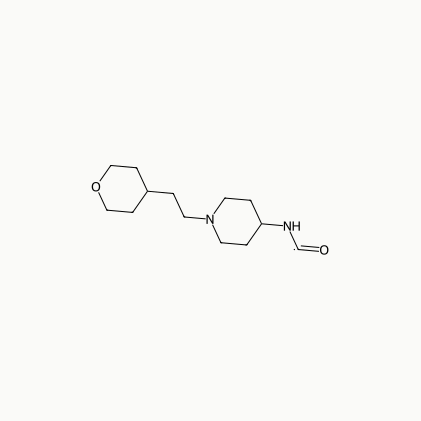 O=[C]NC1CCN(CCC2CCOCC2)CC1